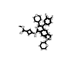 COC(=O)C1CC(Nc2nc(C3CCOCC3)c(-c3ccc(F)c(F)c3)c3cc4cnn(C5CCCCO5)c4cc23)C1